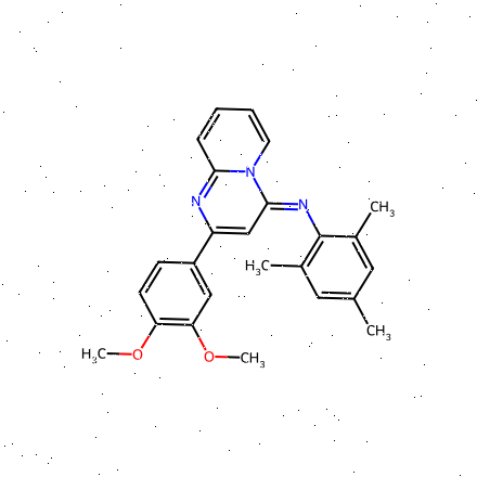 COc1ccc(-c2c/c(=N\c3c(C)cc(C)cc3C)n3ccccc3n2)cc1OC